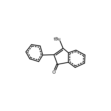 CC(C)(C)C1=C(c2ccccc2)C(=O)c2ccccc21